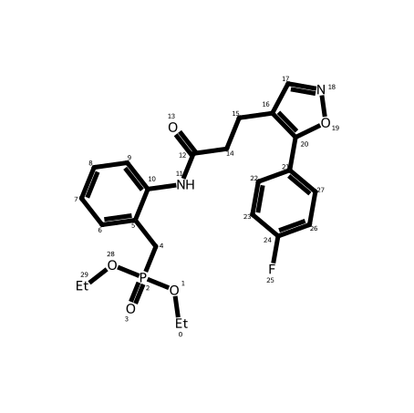 CCOP(=O)(Cc1ccccc1NC(=O)CCc1cnoc1-c1ccc(F)cc1)OCC